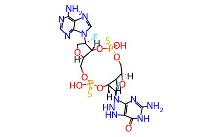 Nc1nc2c(c(=O)[nH]1)NNN2[C@@H]1O[C@@H]2COP(O)(=S)O[C@@H]3[C@@H](COP(O)(=S)O[C@@H]1[C@H]2F)OC[C@@]3(F)n1cnc2c(N)ncnc21